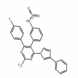 O=[SH](=O)Nc1cccc(-c2c(-c3ccc(F)cc3)nc(C(F)(F)F)nc2-n2cnc(-c3ccccc3)c2)c1